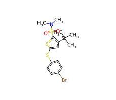 CN(C)S(=O)(=O)c1sc(Sc2ccc(Br)cc2)cc1[Si](C)(C)C